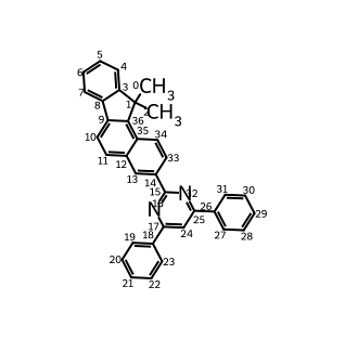 CC1(C)c2ccccc2-c2ccc3cc(-c4nc(-c5ccccc5)cc(-c5ccccc5)n4)ccc3c21